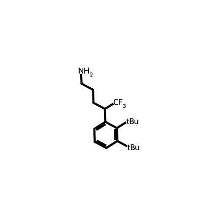 CC(C)(C)c1cccc(C(CCCN)C(F)(F)F)c1C(C)(C)C